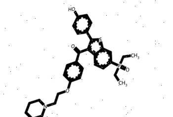 CCP(=O)(CC)c1ccc2c(C(=O)c3ccc(OCCN4CCCCC4)cc3)c(-c3ccc(O)cc3)sc2c1